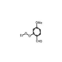 CCOOc1cc(OC)ccc1C=O